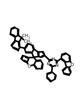 CC1(C)c2ccccc2-c2cccc(-c3ccc4c(c3)C3(c5ccccc5Oc5ccccc53)c3cc(-c5nc(-c6ccccc6)nc(-c6cccc7oc8ccccc8c67)n5)ccc3-4)c21